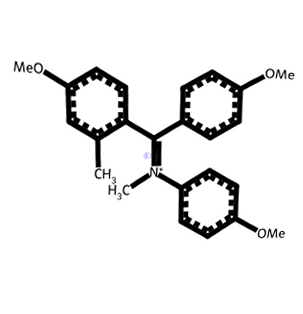 COc1ccc(/C(c2ccc(OC)cc2C)=[N+](/C)c2ccc(OC)cc2)cc1